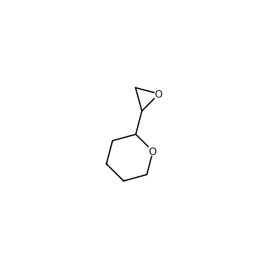 C1CCC(C2CO2)OC1